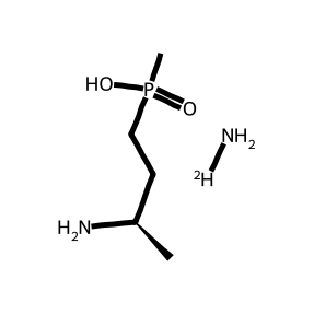 C[C@@H](N)CCP(C)(=O)O.[2H]N